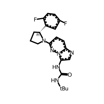 CC(C)(C)NC(=O)Nc1cnc2ccc(N3CCC[C@@H]3c3cc(F)ccc3F)nn12